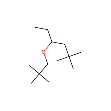 [CH2]CC(CC(C)(C)C)OCC(C)(C)C